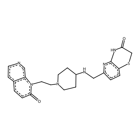 O=C1CSc2ccc(CNC3CCN(CCn4c(=O)ccc5ccncc54)CC3)nc2N1